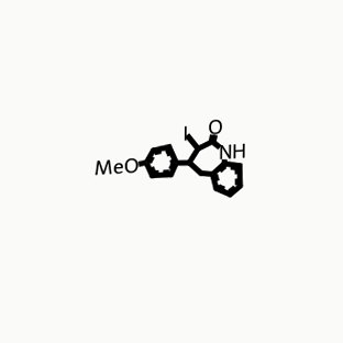 COc1ccc(C2Cc3ccccc3NC(=O)C2I)cc1